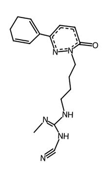 CN=C(NC#N)NCCCCn1nc(C2=CCCC=C2)ccc1=O